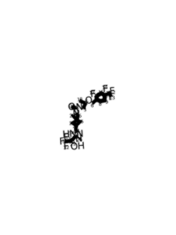 O=C(N1CC(OCc2ccc(C(F)(F)F)cc2F)C1)N1CC2(CC(c3nnc([C@H](O)C(F)(F)F)[nH]3)C2)C1